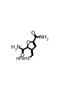 CCCCCC=C1C=C(C(N)=O)OC1C(N)=O